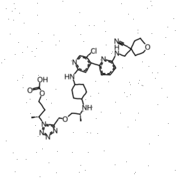 C[C@@H](COCc1nnnn1[C@@H](C)CCOC(=O)O)NC1CCC(Nc2cc(-c3cccc(NCC4(C#N)CCOCC4)n3)c(Cl)cn2)CC1